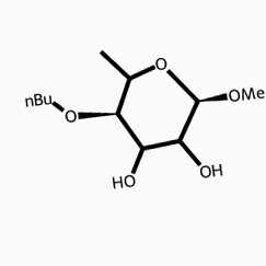 CCCCO[C@H]1C(C)O[C@@H](OC)C(O)C1O